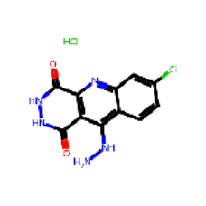 Cl.NNc1c2ccc(Cl)cc2nc2c(=O)[nH][nH]c(=O)c12